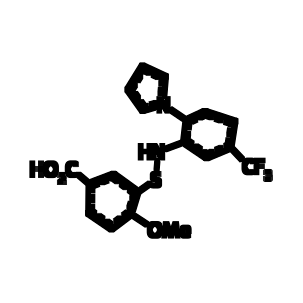 COc1ccc(C(=O)O)cc1SNc1cc(C(F)(F)F)ccc1-n1cccc1